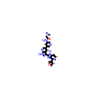 CN(C)CC(=O)Nc1cncc(-c2cnc3[nH]nc(-c4nc5c(-c6ccoc6)nccc5[nH]4)c3c2)c1